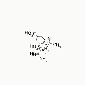 CS(=O)(=O)O.Cc1nc2cc(C(=O)O)ccc2[nH]1.N=C(N)N